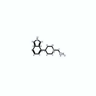 CCN1CCC(c2cccc3cscc23)CC1